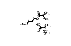 CCC(=O)O.CCCCCCCCCCCCOC(=O)C(C)N.[NaH].[NaH]